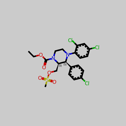 CCOC(=O)N1CCN(c2ccc(Cl)cc2Cl)[C@@H](c2ccc(Cl)cc2)[C@H]1COS(C)(=O)=O